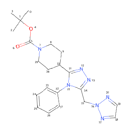 CC(C)(C)OC(=O)N1CCC(c2nnc(Cn3nccn3)n2-c2ccccc2)CC1